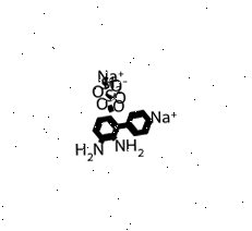 C=O.Nc1cccc(-c2ccccc2)c1N.O=[SH2]=O.[Na+].[Na+].[O-]S[O-]